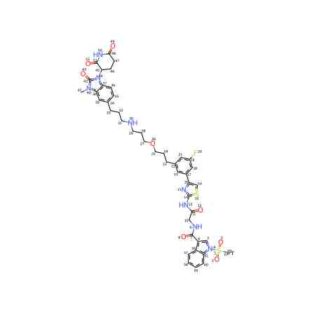 CC(C)S(=O)(=O)n1cc(C(=O)NCC(=O)Nc2nc(-c3cc(F)cc(CCCOCCCNCCCc4ccc5c(c4)n(C)c(=O)n5C4CCC(=O)NC4=O)c3)cs2)c2ccccc21